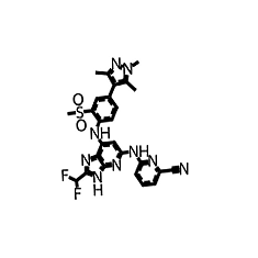 Cc1nn(C)c(C)c1-c1ccc(Nc2cc(Nc3cccc(C#N)n3)nc3[nH]c(C(F)F)nc23)c(S(C)(=O)=O)c1